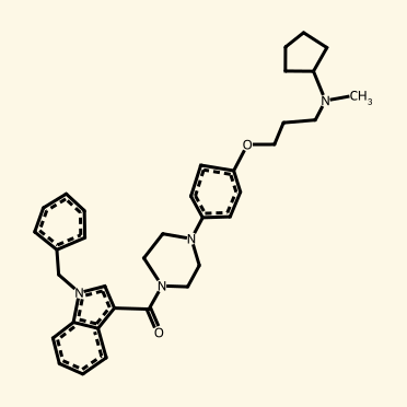 CN(CCCOc1ccc(N2CCN(C(=O)c3cn(Cc4ccccc4)c4ccccc34)CC2)cc1)C1CCCC1